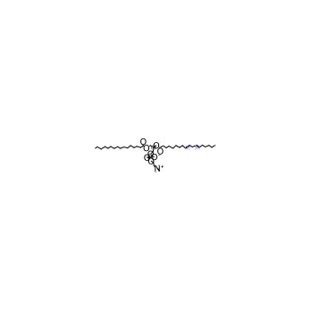 CCCCC/C=C/C/C=C/CCCCCCCC(=O)O[C@H](COC(=O)CCCCCCCCCCCCCCC)COP(=O)([O-])OCC[N+](C)(C)C